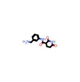 NCc1cccc(NC(=O)C2CCC(=O)NC2=O)c1